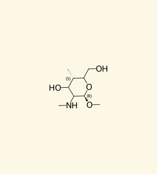 CNC1C(O)[C@H](C)C(CO)O[C@H]1OC